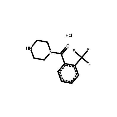 Cl.O=C(c1ccccc1C(F)(F)F)N1CCNCC1